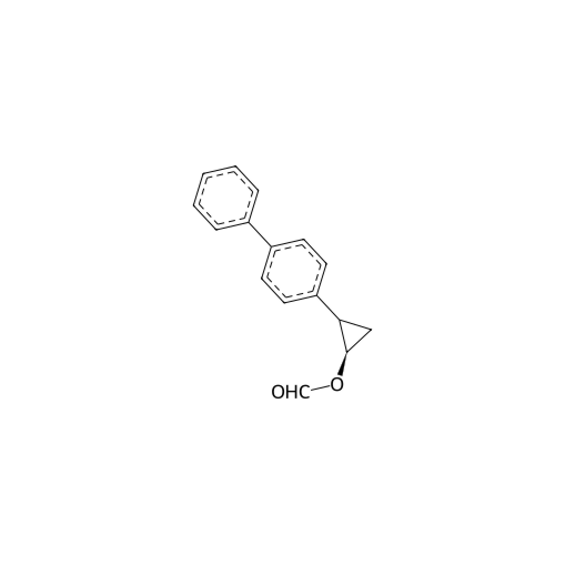 O=CO[C@@H]1CC1c1ccc(-c2ccccc2)cc1